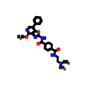 COc1ncc(-c2ccccc2)c2sc(NC(=O)C3=CC=C(C(=O)NCCN(C)C)CC3)nc12